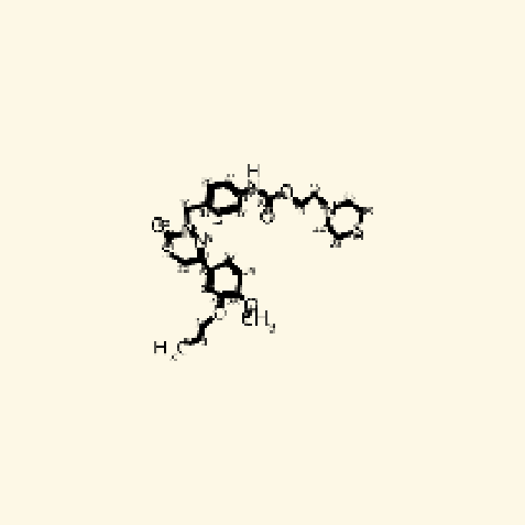 CCCOc1cc(C2=NN(Cc3ccc(NC(=O)OCCN4CCSCC4)cc3)C(=O)SC2)ccc1OC